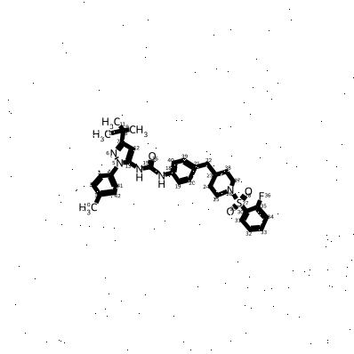 Cc1ccc(-n2nc(C(C)(C)C)cc2NC(=O)Nc2ccc(CC3CCN(S(=O)(=O)c4ccccc4F)CC3)cc2)cc1